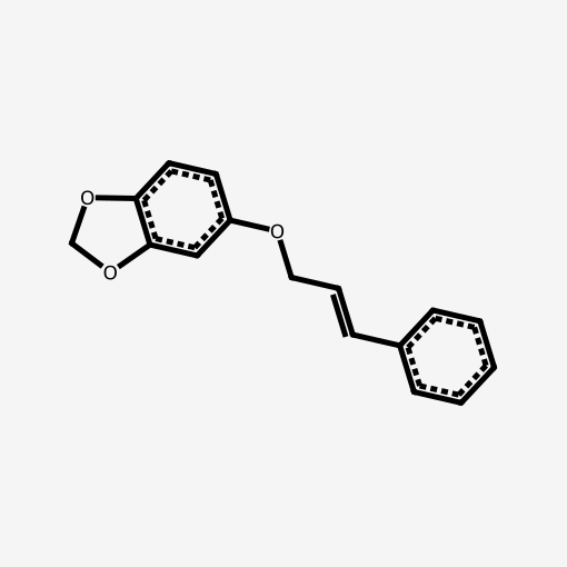 C(=Cc1ccccc1)COc1ccc2c(c1)OCO2